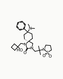 CN(C)[C@]1(c2ccccc2)CC[C@]2(CC1)CN(CC(C)(C)N1CCCS1(=O)=O)C(=O)N2CC1(O)CCC1